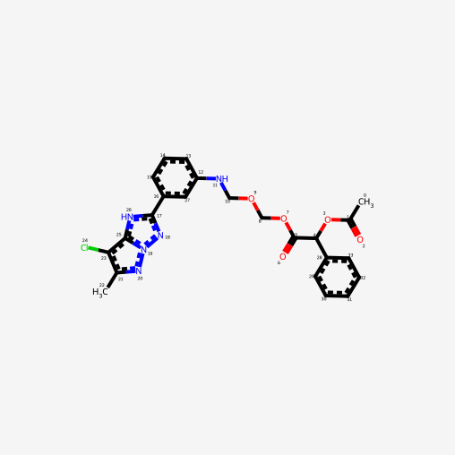 CC(=O)OC(C(=O)OCOCNc1cccc(-c2nn3nc(C)c(Cl)c3[nH]2)c1)c1ccccc1